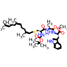 COC(=O)[C@H](Cc1c[nH]c2ccccc12)NC(=O)[C@H](C)NC(=O)[C@H](CSCC=C(C)CCC=C(C)CCC=C(C)C)NC(=O)OC(C)(C)C